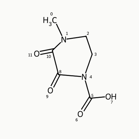 CN1CCN(C(=O)O)C(=O)C1=O